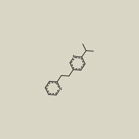 CC(C)c1ccc(CCc2ccccn2)cn1